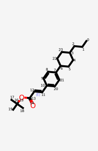 CCCC1CCC(c2ccc(/C=C/C(=O)OC(C)(C)C)cc2)CC1